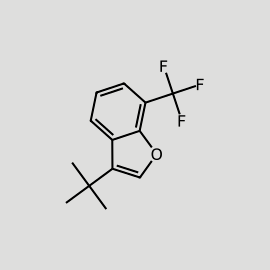 CC(C)(C)c1coc2c(C(F)(F)F)cccc12